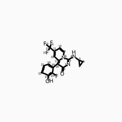 O=c1nc(NC2CC2)n2ccc(C(F)(F)F)cc2c1-c1cccc(O)c1F